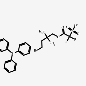 CC(C)(CCBr)COC(=O)C(F)(F)S(=O)(=O)[O-].c1ccc([S+](c2ccccc2)c2ccccc2)cc1